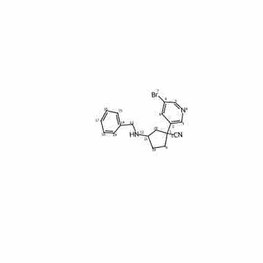 N#CC1(c2cncc(Br)c2)CCC(NCc2ccccc2)C1